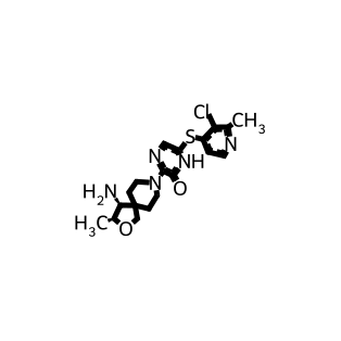 Cc1nccc(Sc2cnc(N3CCC4(CC3)CO[C@@H](C)[C@H]4N)c(=O)[nH]2)c1Cl